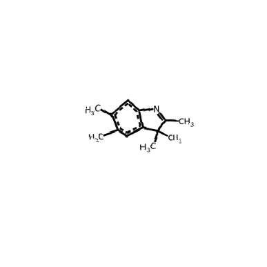 CC1=Nc2cc(C)c(C)cc2C1(C)C